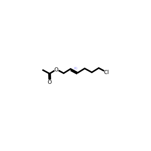 CC(=O)OC/C=C/CCCCl